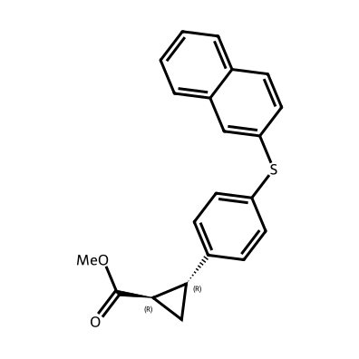 COC(=O)[C@@H]1C[C@H]1c1ccc(Sc2ccc3ccccc3c2)cc1